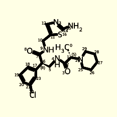 C[C@@H](C(=O)NC[C@H](C(=O)NCc1cnc(N)s1)c1cccc(Cl)c1)N1CCCCC1